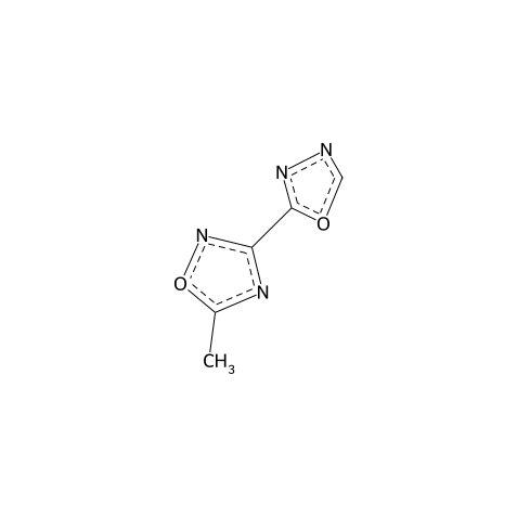 Cc1nc(-c2nnco2)no1